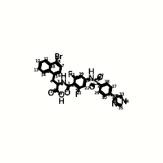 O=C(NC(Cc1ccc(Br)c2ccccc12)C(=O)O)c1c(F)cc(NS(=O)(=O)c2ccc(-n3cncn3)cc2)cc1F